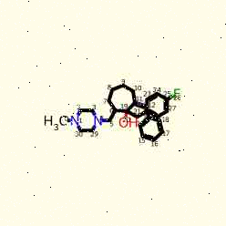 CN1CCN(CC2CCCC/C(=C/c3ccccc3)C2(O)Cc2ccc(F)cc2)CC1